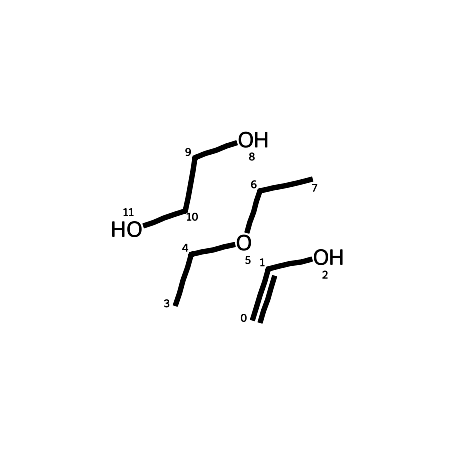 C=CO.CCOCC.OCCO